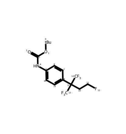 CC(C)(C)OC(=O)Nc1ccc(C(CCF)(C(F)(F)F)C(F)(F)F)cc1